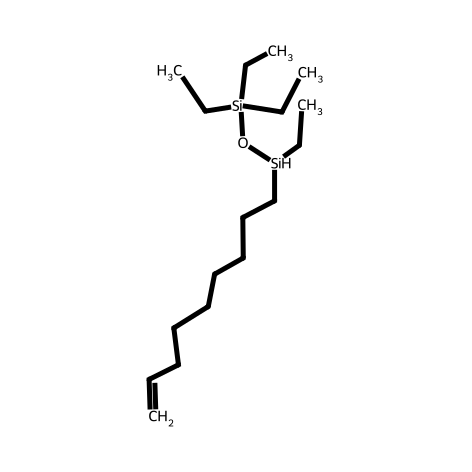 C=CCCCCCCC[SiH](CC)O[Si](CC)(CC)CC